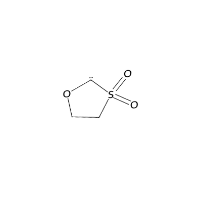 O=S1(=O)[C]OCC1